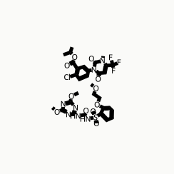 CC(C)OC(=O)c1cc(-n2c(=O)cc(C(F)(F)F)n(C)c2=O)ccc1Cl.COCCOc1ccccc1S(=O)(=O)NC(=O)Nc1nc(OC)nc(OC)n1